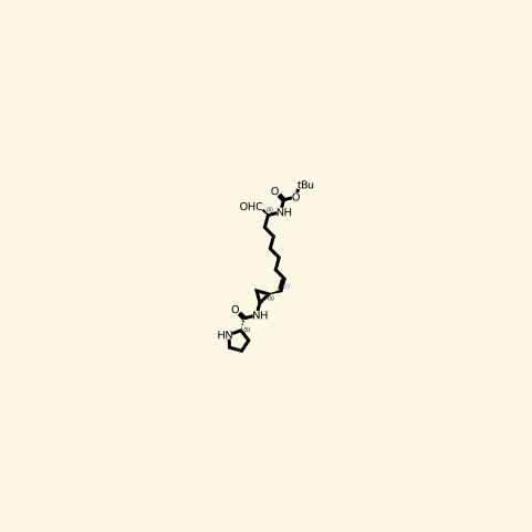 CC(C)(C)OC(=O)N[C@H](C=O)CCCCC/C=C\[C@@H]1CC1NC(=O)[C@@H]1CCCN1